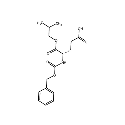 CC(C)COC(=O)[C@H](CCC(=O)O)NC(=O)OCc1ccccc1